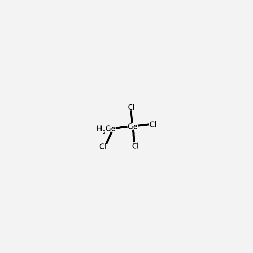 [Cl][GeH2][Ge]([Cl])([Cl])[Cl]